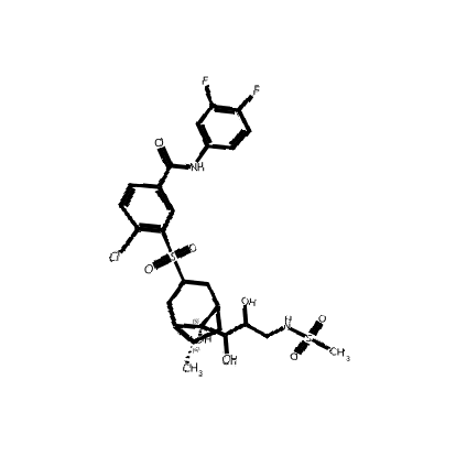 C[C@H]1CC2CC(S(=O)(=O)c3cc(C(=O)Nc4ccc(F)c(F)c4)ccc3Cl)CC1[C@]2(O)C(O)C(O)CNS(C)(=O)=O